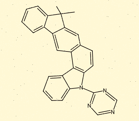 CC1(C)c2ccccc2-c2cc3c(ccc4c3c3ccccc3n4-c3ncncn3)cc21